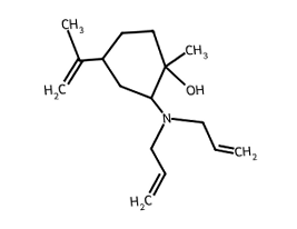 C=CCN(CC=C)C1CC(C(=C)C)CCC1(C)O